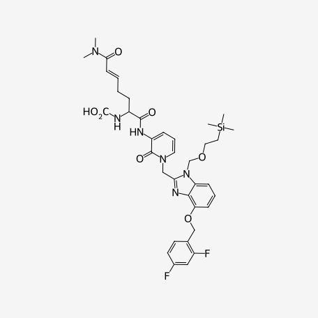 CN(C)C(=O)C=CCCC(NC(=O)O)C(=O)Nc1cccn(Cc2nc3c(OCc4ccc(F)cc4F)cccc3n2COCC[Si](C)(C)C)c1=O